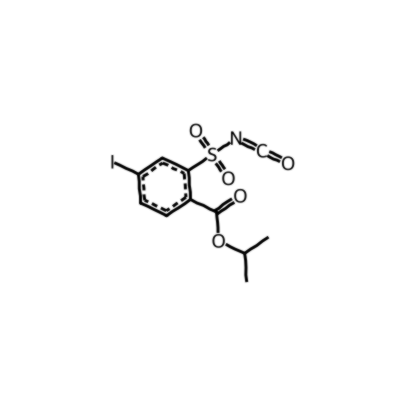 CC(C)OC(=O)c1ccc(I)cc1S(=O)(=O)N=C=O